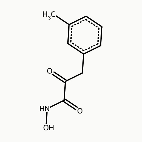 Cc1cccc(CC(=O)C(=O)NO)c1